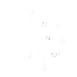 CN(C(=O)n1cc(F)c(=O)[nH]c1=O)C1=CCC(C)(C)CC1=O